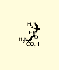 CC(C)(CN)CNC(=O)CC[C@H](N)C(=O)O